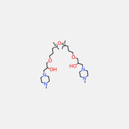 CN1CCN(CC(O)COCCC[Si](C)(C)O[Si](C)(C)CCCOCC(O)CN2CCN(C)CC2)CC1